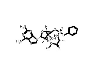 CC(C)OC(=O)[C@@H](C)NP(=O)(Oc1ccccc1)OC1[C@H]2O[C@@H](n3cnc4c(N)nc(N)nc43)[C@](C)(N)[C@@]12O